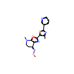 CO/N=C1\CCN(C)c2oc(-c3sc(-c4cccnc4)nc3C)nc21